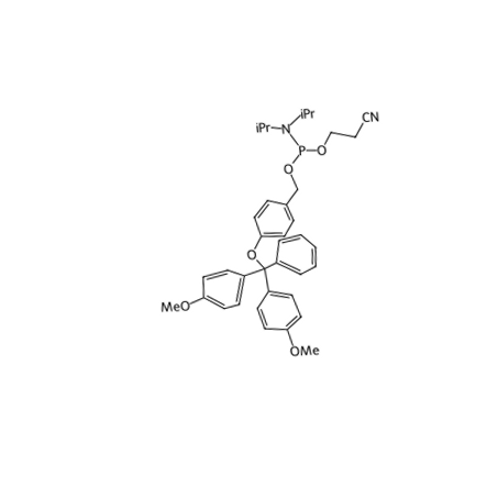 COc1ccc(C(Oc2ccc(COP(OCCC#N)N(C(C)C)C(C)C)cc2)(c2ccccc2)c2ccc(OC)cc2)cc1